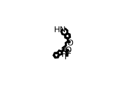 O=C(CCCN(C(=O)C(F)(F)F)C1Cc2ccccc2C1)c1ccc2c(c1)CCNCC2